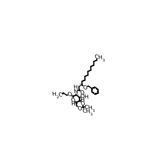 C=CCO[C@@H]1O[C@@H]2COC(C)(C)O[C@H]2[C@H](O)[C@H]1NC(=O)C[C@@H](CCCCCCCCCCC)OCc1ccccc1